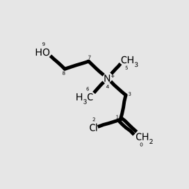 C=C(Cl)C[N+](C)(C)CCO